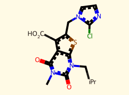 CC(C)Cn1c(=O)n(C)c(=O)c2c(C(=O)O)c(Cn3ccnc3Cl)sc21